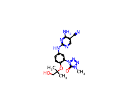 Cn1nnn(-c2cc(Nc3ncc(C#N)c(N)n3)ccc2OC(C)(C)CO)c1=O